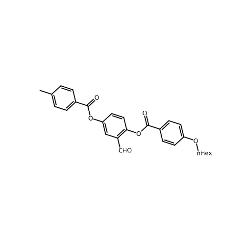 CCCCCCOc1ccc(C(=O)Oc2ccc(OC(=O)c3ccc(C)cc3)cc2C=O)cc1